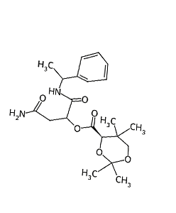 CC(NC(=O)C(CC(N)=O)OC(=O)[C@@H]1OC(C)(C)OCC1(C)C)c1ccccc1